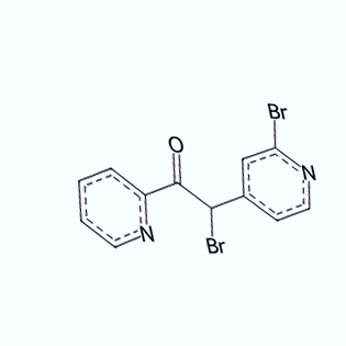 O=C(c1ccccn1)C(Br)c1ccnc(Br)c1